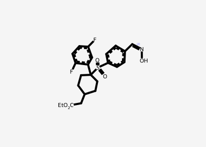 CCOC(=O)CC1CCC(c2cc(F)ccc2F)(S(=O)(=O)c2ccc(/C=N\O)cc2)CC1